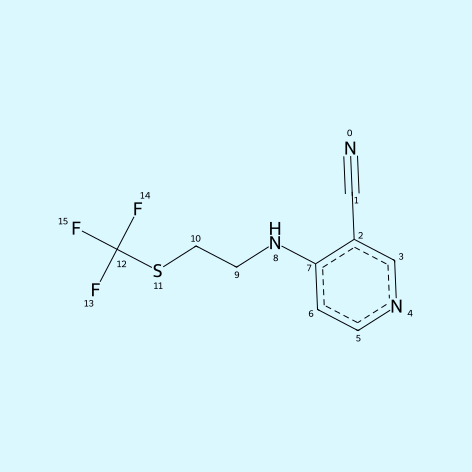 N#Cc1cnccc1NCCSC(F)(F)F